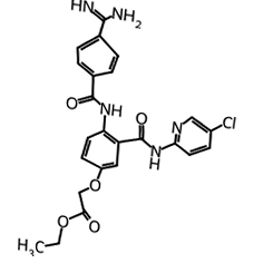 CCOC(=O)COc1ccc(NC(=O)c2ccc(C(=N)N)cc2)c(C(=O)Nc2ccc(Cl)cn2)c1